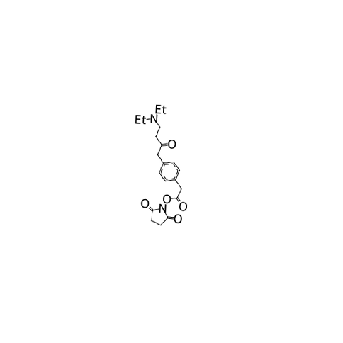 CCN(CC)CCC(=O)Cc1ccc(CC(=O)ON2C(=O)CCC2=O)cc1